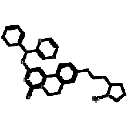 CN1CCCC1CCOc1ccc2c(c1)CCn1c-2cc(OC(C2=CC=CCC2)C2=COC=CO2)nc1=O